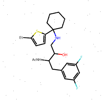 CCc1ccc(C2(NCC(O)C(Cc3cc(F)cc(F)c3)NC(C)=O)CCCCC2)s1